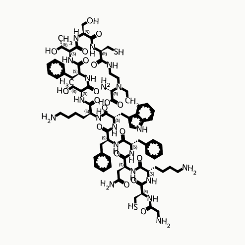 CCN(CCNC(=O)[C@H](CS)NC(=O)[C@H](CO)NC(=O)[C@@H](NC(=O)[C@H](Cc1ccccc1)NC(=O)[C@@H](NC(=O)[C@H](CCCCN)NC(=O)[C@H](Cc1c[nH]c2ccccc12)NC(=O)[C@H](Cc1ccccc1)NC(=O)[C@H](Cc1ccccc1)NC(=O)[C@H](CC(N)=O)NC(=O)[C@H](CCCCN)NC(=O)[C@H](CS)NC(=O)CN)[C@@H](C)O)[C@@H](C)O)[C@@H](N)C(=O)O